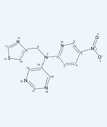 O=[N+]([O-])c1ccc(N(Cc2cscn2)c2cncnc2)nc1